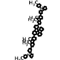 Cc1ccc(-n2c3ccccc3c3cc(-c4ccc5c(c4)C(C)(C)c4cc(-c6ccc7c(c6)C6(c8ccccc8-c8ccccc86)c6cc(-c8ccc9c(c8)C(C)(C)c8cc(-c%10ccc%11c(c%10)c%10ccccc%10n%11-c%10ccc(C)cc%10)ccc8-9)ccc6-7)ccc4-5)ccc32)cc1